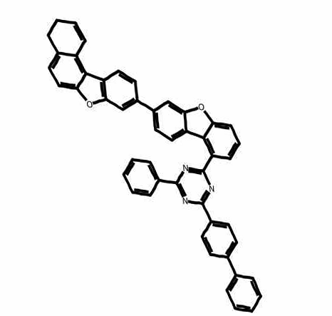 C1=Cc2c(ccc3oc4cc(-c5ccc6c(c5)oc5cccc(-c7nc(-c8ccccc8)nc(-c8ccc(-c9ccccc9)cc8)n7)c56)ccc4c23)CC1